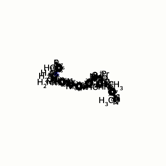 Cc1ncsc1-c1ccc([C@H](C)NC(=O)[C@@H]2C[C@@H](O)CN2C(=O)C(c2cc(N3CCC(CN4CCC(c5cnc(N6CCC(n7nc(N)c(N)c7/C=C(\N)c7cccc(F)c7O)CC6)nc5)CC4)CC3)no2)C(C)C)cc1